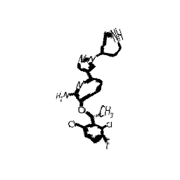 C[C@@H](Oc1ccc(-c2cnn(C3CCNCC3)c2)nc1N)c1c(Cl)ccc(F)c1Cl